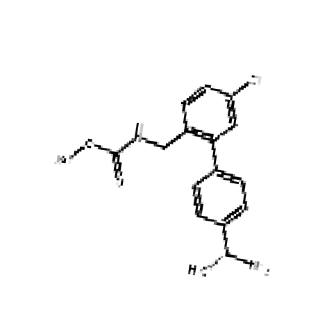 C[C@@H](N)c1ccc(-c2cc(Cl)ccc2CNC(=O)OC(C)(C)C)cc1